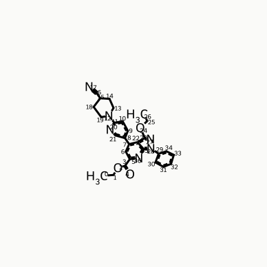 CCOC(=O)c1cc(-c2ccc(N3CCC(C#N)CC3)nc2)c2c(OCC)nn(-c3ccccc3)c2n1